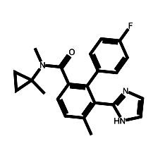 Cc1ccc(C(=O)N(C)C2(C)CC2)c(-c2ccc(F)cc2)c1-c1ncc[nH]1